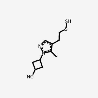 Cc1c(CCSS)cnn1C1CC(C#N)C1